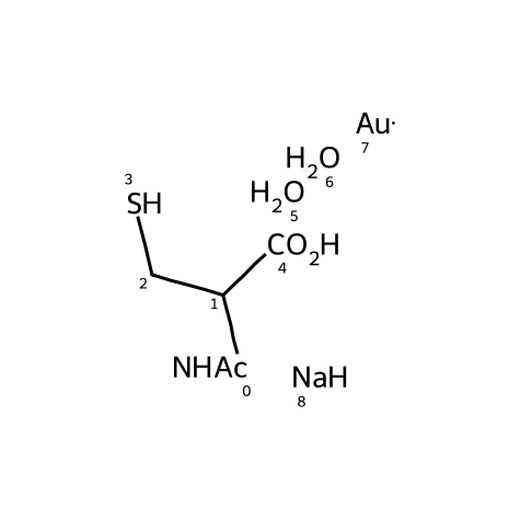 CC(=O)NC(CS)C(=O)O.O.O.[Au].[NaH]